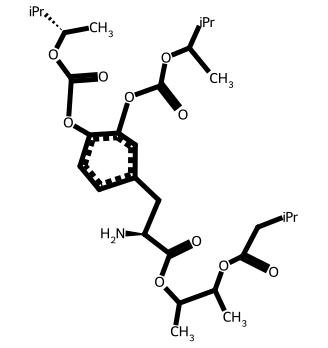 CC(C)CC(=O)OC(C)C(C)OC(=O)[C@@H](N)Cc1ccc(OC(=O)O[C@@H](C)C(C)C)c(OC(=O)OC(C)C(C)C)c1